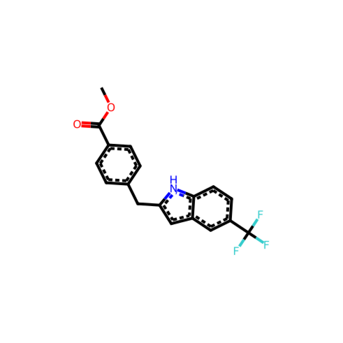 COC(=O)c1ccc(Cc2cc3cc(C(F)(F)F)ccc3[nH]2)cc1